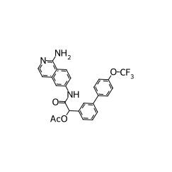 CC(=O)OC(C(=O)Nc1ccc2c(N)nccc2c1)c1cccc(-c2ccc(OC(F)(F)F)cc2)c1